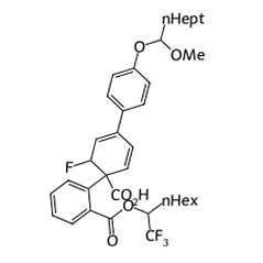 CCCCCCCC(OC)Oc1ccc(C2=CC(F)C(C(=O)O)(c3ccccc3C(=O)OC(CCCCCC)C(F)(F)F)C=C2)cc1